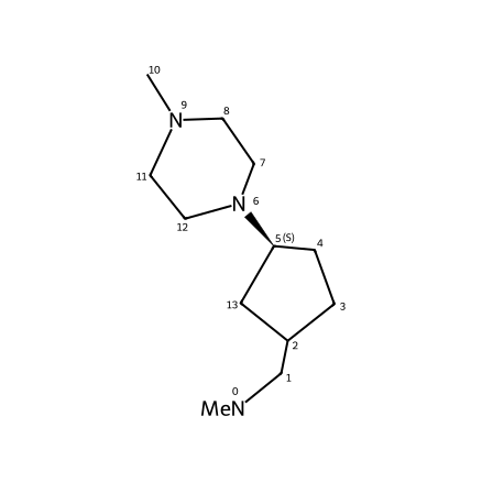 CNCC1CC[C@H](N2CCN(C)CC2)C1